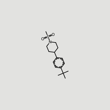 CC(C)(C)c1ccc(C2CCN(S(C)(=O)=O)CC2)cc1